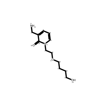 NCc1cccn(CCOCCCCO)c1=O